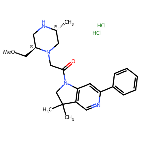 COC[C@H]1CN[C@H](C)CN1CC(=O)N1CC(C)(C)c2cnc(-c3ccccc3)cc21.Cl.Cl